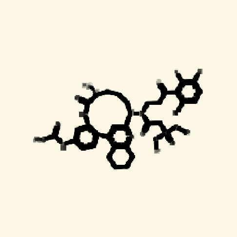 CCOP(=O)(CC(=O)N(CCC(=O)c1c(Br)ccc(Cl)c1F)[C@H]1CCC[C@@H](C)C(=O)Nc2cc(NC(=O)OC)ccc2-c2cc1nc1c2CCCC1)OCC